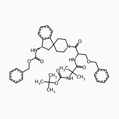 CC(C)(C)OC(=O)NC(C)(C)C(=O)NC(COCc1ccccc1)C(=O)N1CCC2(CC1)C[C@@H](NC(=O)OCc1ccccc1)c1ccccc12